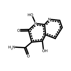 NC(=O)c1c(O)c2cccnc2n(O)c1=O